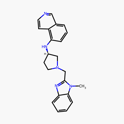 Cn1c(CN2CC[C@@H](Nc3cccc4cnccc34)C2)nc2ccccc21